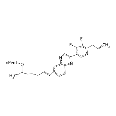 C=CCc1ccc(-c2cnc3cc(C=CCCCC(C)OCCCCC)ccc3n2)c(F)c1F